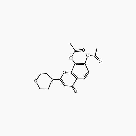 CC(=O)Oc1ccc2c(=O)cc(N3CCOCC3)oc2c1OC(C)=O